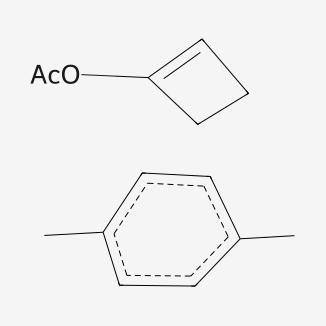 CC(=O)OC1=CCC1.Cc1ccc(C)cc1